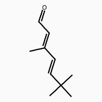 CC(/C=C/C(C)(C)C)=C\C=O